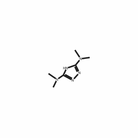 CN(C)c1nnc(N(C)C)[nH]1